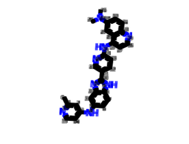 Cc1cc(Nc2ccc3[nH]c(-c4ccc(Nc5ccnc6ccc(N(C)C)cc56)nc4)nc3c2)ccn1